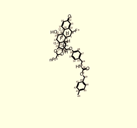 CCCC1O[C@@H]2C[C@H]3[C@@H]4C[C@H](F)C5=CC(=O)C=C[C@]5(C)[C@@]4(F)[C@@H](O)C[C@]3(C)[C@]2(C(=O)COc2ccc(CNC(=O)OCc3ccc(C)cc3)cc2)O1